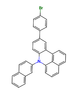 Brc1ccc(-c2ccc3c(c2)-c2cccc4cccc(c24)N3c2ccc3ccccc3c2)cc1